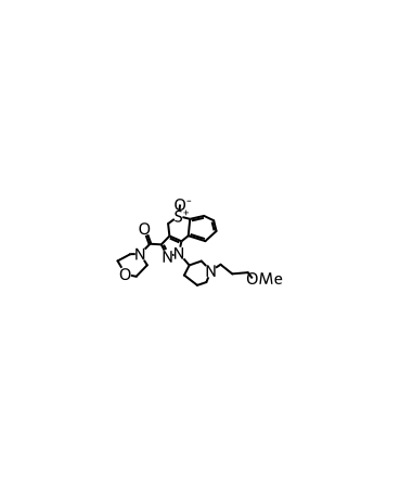 COCCCN1CCCC(n2nc(C(=O)N3CCOCC3)c3c2-c2ccccc2[S+]([O-])C3)C1